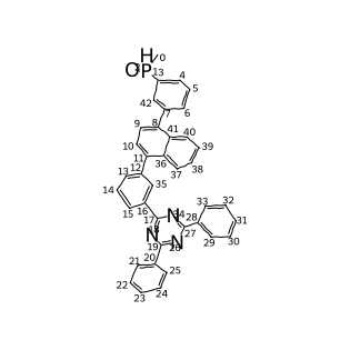 C[PH](=O)c1cccc(-c2ccc(-c3cccc(-c4nc(-c5ccccc5)nc(-c5ccccc5)n4)c3)c3ccccc23)c1